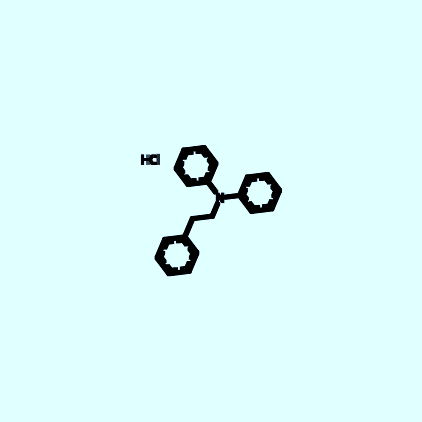 Cl.c1ccc(CCN(c2ccccc2)c2ccccc2)cc1